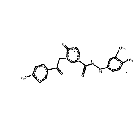 Cc1ccc(NNC(=O)c2ccc(=O)n(CC(=O)c3ccc(C(F)(F)F)cc3)c2)cc1C